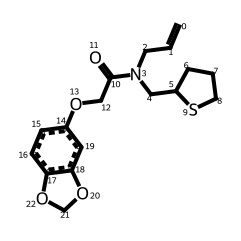 C=CCN(CC1CCCS1)C(=O)COc1ccc2c(c1)OCO2